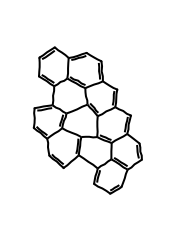 c1cc2ccc3cc4cc5ccc6cccc7c8ccc9ccc%10c(c1)c2c3c1c4c(c5c67)c8c9c%101